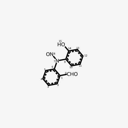 O=Cc1ccccc1N(N=O)c1ccccc1O